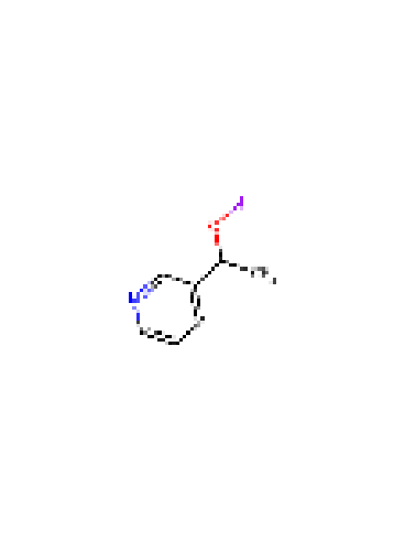 FC(F)(F)C(OI)c1cccnc1